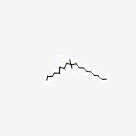 CCCCCCCCCC(C)(C)C(S)CCCCCCC